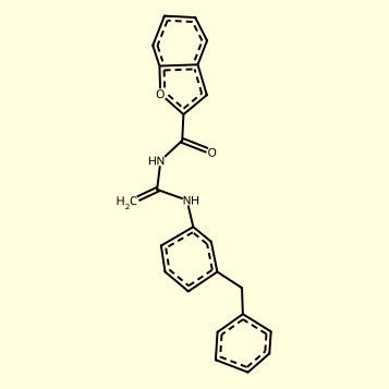 C=C(NC(=O)c1cc2ccccc2o1)Nc1cccc(Cc2ccccc2)c1